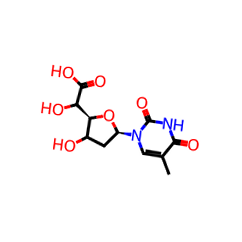 Cc1cn([C@H]2CC(O)[C@@H](C(O)C(=O)O)O2)c(=O)[nH]c1=O